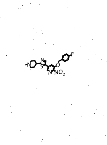 CN1CCC(c2ncc(-c3cnc([N+](=O)[O-])c(OCc4ccc(F)cc4)c3)s2)CC1